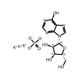 O=P([O-])([O-])[O-].OC[C@H]1O[C@@H](n2cnc3c(O)ncnc32)[C@H](O)[C@@H]1O.[K+].[K+].[K+]